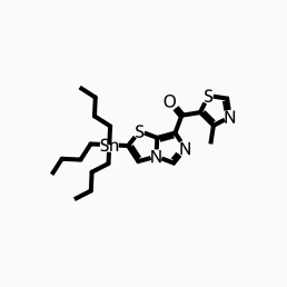 CCC[CH2][Sn]([CH2]CCC)([CH2]CCC)[c]1cn2cnc(C(=O)c3scnc3C)c2s1